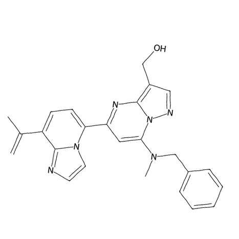 C=C(C)c1ccc(-c2cc(N(C)Cc3ccccc3)n3ncc(CO)c3n2)n2ccnc12